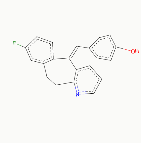 Oc1ccc(/C=C2/c3ccc(F)cc3CCc3ncccc32)cc1